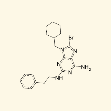 Nc1nc(NCCc2ccccc2)nc2c1nc(Br)n2CC1CCCCC1